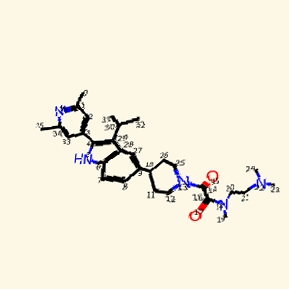 Cc1cc(-c2[nH]c3ccc(C4CCN(C(=O)C(=O)N(C)CCN(C)C)CC4)cc3c2C(C)C)cc(C)n1